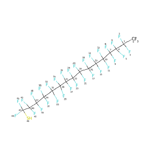 FC(F)(F)C(F)(F)C(F)(F)C(F)(F)C(F)(F)C(F)(F)C(F)(F)C(F)(F)C(F)(F)C(F)(F)C(F)(F)C(F)(F)C(F)(F)C(F)(F)C(F)(F)C(F)(F)S